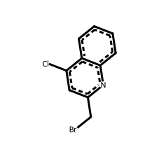 Clc1cc(CBr)nc2ccccc12